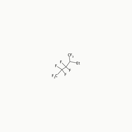 CCC(C(F)(F)F)C(F)(F)C(F)(F)C(F)(F)F